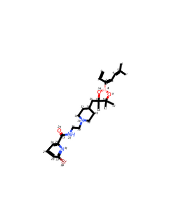 C=C/C(=C\C=C(C)C)B1OC(C)(C)C(C)(CC2CCN(CCNC(=O)c3cccc(Br)n3)CC2)O1